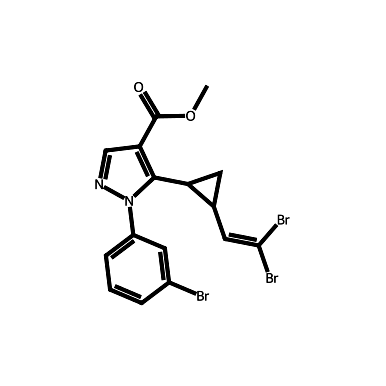 COC(=O)c1cnn(-c2cccc(Br)c2)c1C1CC1C=C(Br)Br